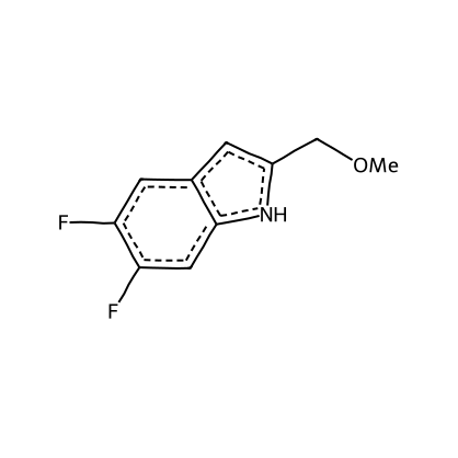 COCc1cc2cc(F)c(F)cc2[nH]1